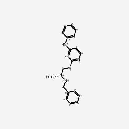 CCOC(=O)[C@H](CSc1nccc(Nc2ccccc2)n1)NCc1ccccc1